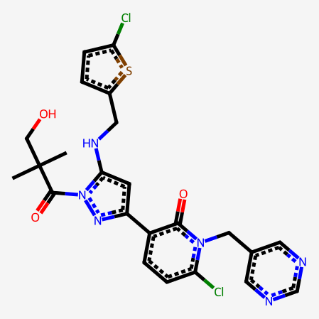 CC(C)(CO)C(=O)n1nc(-c2ccc(Cl)n(Cc3cncnc3)c2=O)cc1NCc1ccc(Cl)s1